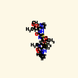 COC(=O)[C@@H](C)C[C@H](Cc1ncccn1)NC(=O)c1csc([C@@H](C[C@H](C(C)C)N(C)C(=O)[C@@H](NC(=O)[C@H]2CC3CCN2CC3)C2CSC2)OC(C)=O)n1